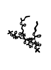 CCCCOC(=O)[C@H](CNC(=O)OC(C)(C)C)NC(=O)[C@@H](NC(=O)[C@H](CCNC(=O)OC(C)(C)C)NC(=O)CCC(=O)OC(C)CCC)C(C)O